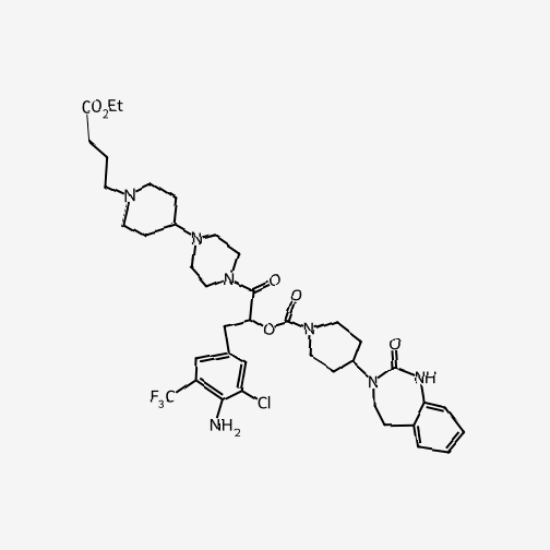 CCOC(=O)CCCN1CCC(N2CCN(C(=O)C(Cc3cc(Cl)c(N)c(C(F)(F)F)c3)OC(=O)N3CCC(N4CCc5ccccc5NC4=O)CC3)CC2)CC1